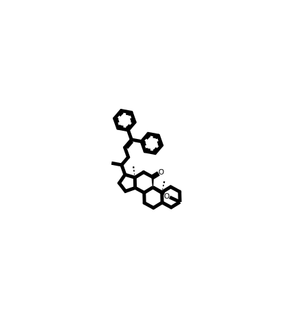 CC(CC=C(c1ccccc1)c1ccccc1)C1CCC2C3CCC4CC5CC[C@]4(C)[C@@]3(O5)C(=O)C[C@]12C